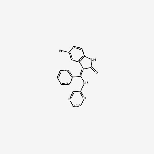 O=C1Nc2ccc(Br)cc2/C1=C(/Nc1cnccn1)c1ccccc1